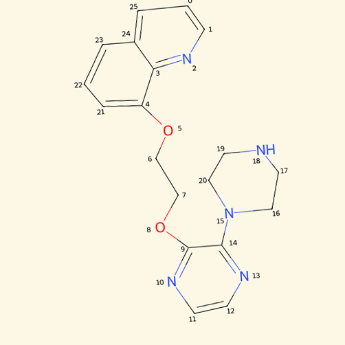 c1cnc2c(OCCOc3nccnc3N3CCNCC3)cccc2c1